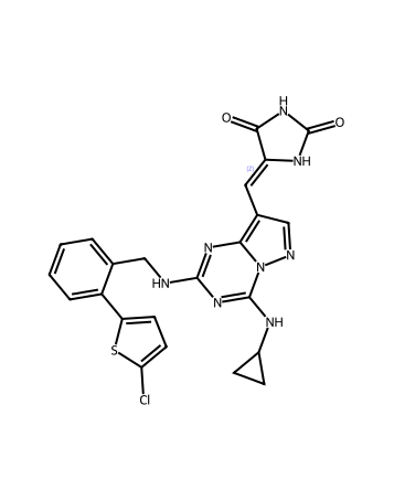 O=C1NC(=O)/C(=C/c2cnn3c(NC4CC4)nc(NCc4ccccc4-c4ccc(Cl)s4)nc23)N1